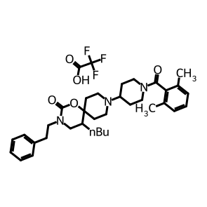 CCCCC1CN(CCc2ccccc2)C(=O)OC12CCN(C1CCN(C(=O)c3c(C)cccc3C)CC1)CC2.O=C(O)C(F)(F)F